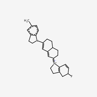 Cc1ccc2c(c1)CCN2C1=CC2=C/C(=[N+]3\CCC4=C3C=CC(F)C4)CCC2CC1